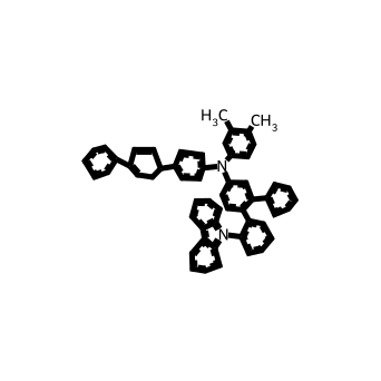 Cc1ccc(N(c2ccc(C3C=CC(c4ccccc4)=CC3)cc2)c2ccc(-c3ccccc3-n3c4ccccc4c4ccccc43)c(-c3ccccc3)c2)cc1C